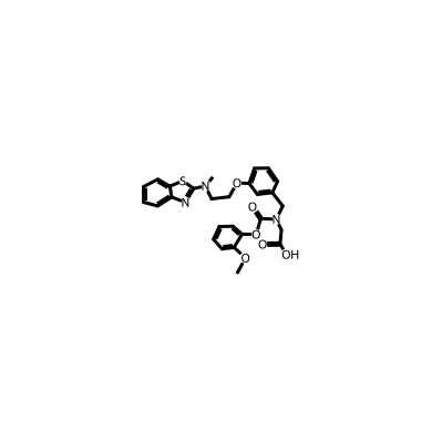 COc1ccccc1OC(=O)N(CC(=O)O)Cc1cccc(OCCN(C)c2nc3ccccc3s2)c1